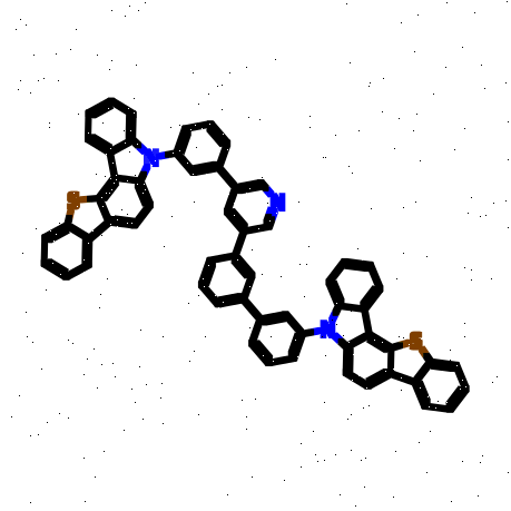 c1cc(-c2cncc(-c3cccc(-n4c5ccccc5c5c6sc7ccccc7c6ccc54)c3)c2)cc(-c2cccc(-n3c4ccccc4c4c5sc6ccccc6c5ccc43)c2)c1